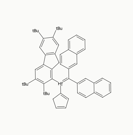 CC(C)(C)c1cc2c(cc1C(C)(C)C)-c1cc(C(C)(C)C)c(C(C)(C)C)[c]([Hf]([C]3=CC=CC3)=[C](c3ccc4ccccc4c3)c3ccc4ccccc4c3)c1C2